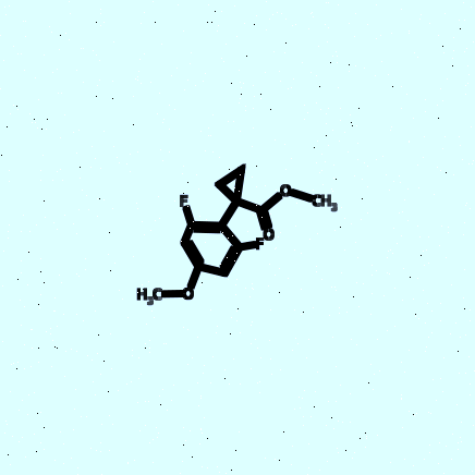 COC(=O)C1(c2c(F)cc(OC)cc2F)CC1